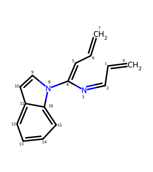 C=C/C=N\C(=C/C=C)n1ccc2ccccc21